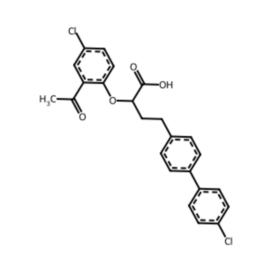 CC(=O)c1cc(Cl)ccc1OC(CCc1ccc(-c2ccc(Cl)cc2)cc1)C(=O)O